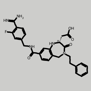 N=C(N)c1ccc(CNC(=O)c2ccc3c(c2)N[C@H](CC(=O)O)C(=O)N(CCc2ccccc2)C3)cc1F